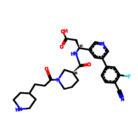 N#Cc1ccc(-c2cncc([C@H](CC(=O)O)NC(=O)[C@@H]3CCCN(C(=O)CCC4CCNCC4)C3)c2)cc1F